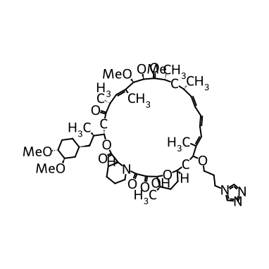 CO[C@@H]1/C(C)=C/[C@@H](C)C(=O)C[C@@H]([C@H](C)C[C@@H]2CC[C@@H](OC)[C@H](OC)C2)OC(=O)[C@@H]2CCCCN2C(=O)C(=O)[C@]2(O)O[C@@H](CC[C@H]2C)CC(OCCCn2cnnc2)/C(C)=C/C=C/C=C/[C@@H](C)C[C@@H](C)C(=O)[C@@H]1OC